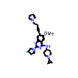 COc1cc2c(NC3CCN(C4CC4)CC3)nc(N3CCC(F)C3)nc2cc1C#CCCN1CCCC1